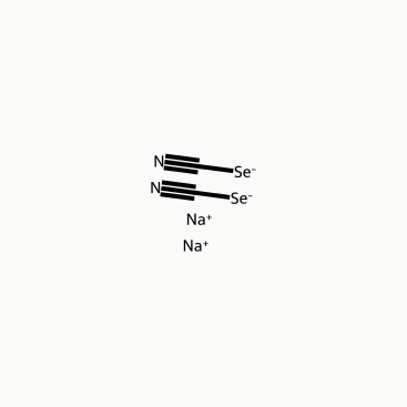 N#C[Se-].N#C[Se-].[Na+].[Na+]